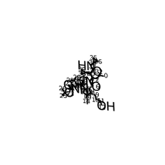 CCCC(NC(=O)[C@@H]1[C@@H](CCCO)[C@@H](I)CN1C(=O)[C@@H](NC(=O)OC(C)C)C(C)C)C(C(=O)NC1CC1)=C1CC1